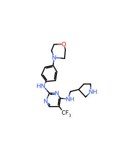 FC(F)(F)c1cnc(Nc2ccc(N3CCOCC3)cc2)nc1NCC1CCNC1